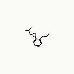 CCCc1ccccc1OCC(C)C